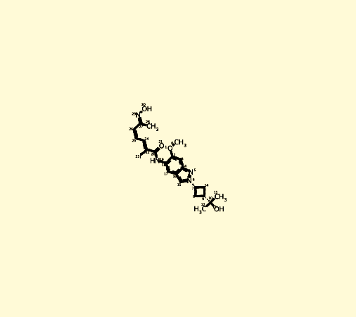 COc1cc2nn([C@H]3C[C@@H](C(C)(C)O)C3)cc2cc1NC(=O)/C(I)=C/C=C\C(C)=N\O